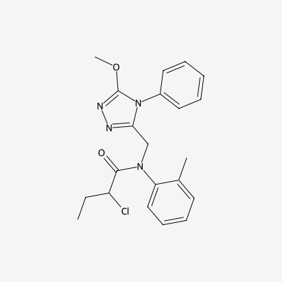 CCC(Cl)C(=O)N(Cc1nnc(OC)n1-c1ccccc1)c1ccccc1C